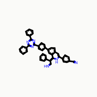 N#Cc1ccc(C2=Cc3ccc(-c4ccc(-c5nc(-c6ccccc6)nc(-c6ccccc6)n5)cc4)cc3/C(=C(/C=N)c3ccccc3)N2)cc1